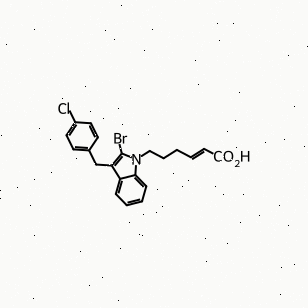 O=C(O)C=CCCCn1c(Br)c(Cc2ccc(Cl)cc2)c2ccccc21